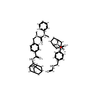 CN(Cc1ccc(C(=O)NC2C3CC4CC(C3)CC2C4)cc1)C(=O)N(C)c1ccccn1.O=CNCc1ccc(C(=O)N2C3CCC2CC(F)C3)cc1